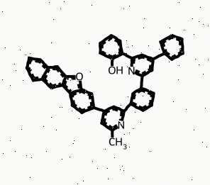 Cc1cc(-c2ccc3c(c2)oc2cc4ccccc4cc23)cc(-c2cccc(-c3cc(-c4ccccc4)cc(-c4ccccc4O)n3)c2)n1